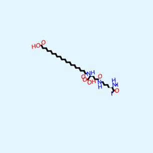 O=C(O)CCCCCCCCCCCCCCCCCCC(=O)N[C@@H](CCC(=O)NCCCC[C@H](NI)C(=O)I)C(=O)O